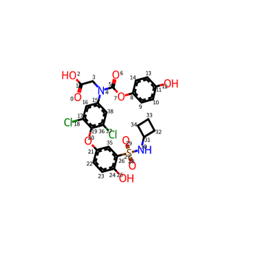 O=C(O)CN(C(=O)Oc1ccc(O)cc1)c1cc(Cl)c(Oc2ccc(O)c(S(=O)(=O)NC3CCC3)c2)c(Cl)c1